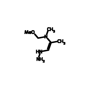 COCN(C)/C(C)=C\NN